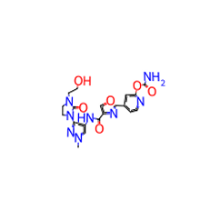 Cn1cc(NC(=O)c2coc(-c3ccnc(OC(N)=O)c3)n2)c(N2CCN(CCO)C2=O)n1